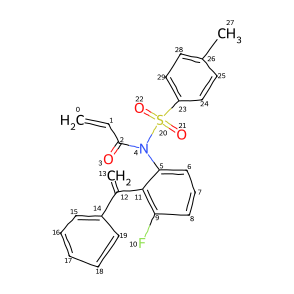 C=CC(=O)N(c1cccc(F)c1C(=C)c1ccccc1)S(=O)(=O)c1ccc(C)cc1